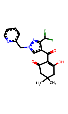 CC1(C)CC(=O)C(C(=O)c2cn(Cc3ccccn3)nc2C(F)F)=C(O)C1